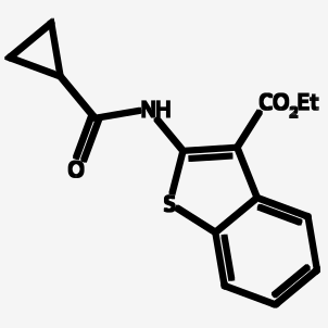 CCOC(=O)c1c(NC(=O)C2CC2)sc2ccccc12